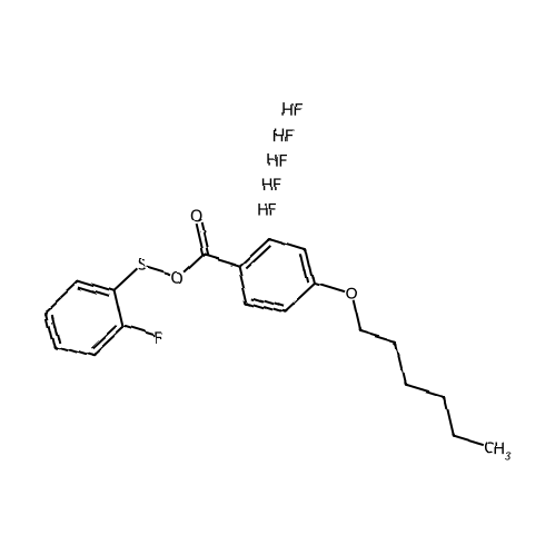 CCCCCCOc1ccc(C(=O)OSc2ccccc2F)cc1.F.F.F.F.F